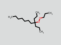 CCCCCCCC(CCC)(CCC)OOCCC